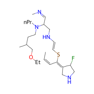 C/C=C\C(S/C=C/NCC(/C=N\C)N(CCC)CCC(C)COCC)=C1/CNCC1F